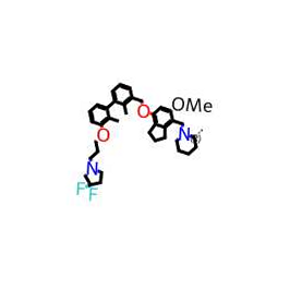 COc1cc(OCc2cccc(-c3cccc(OCCCN4CCC(F)(F)C4)c3C)c2C)c2c(c1CN1CCCC[C@H]1C)CCC2